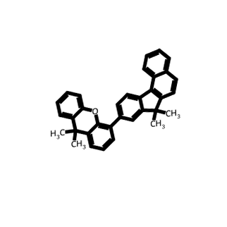 CC1(C)c2ccccc2Oc2c(-c3ccc4c(c3)C(C)(C)c3ccc5ccccc5c3-4)cccc21